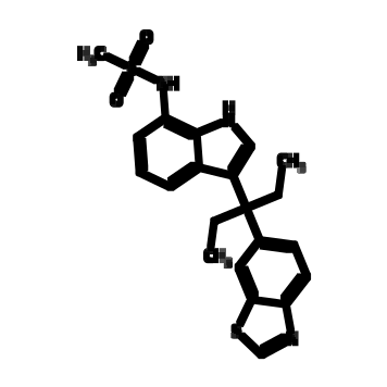 CCC(CC)(c1ccc2ncsc2c1)c1c[nH]c2c(NS(C)(=O)=O)cccc12